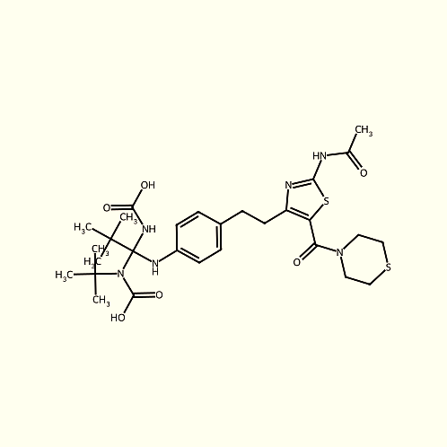 CC(=O)Nc1nc(CCc2ccc(NC(NC(=O)O)(N(C(=O)O)C(C)(C)C)C(C)(C)C)cc2)c(C(=O)N2CCSCC2)s1